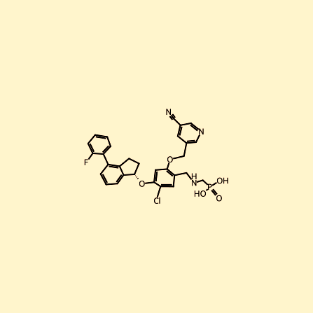 N#Cc1cncc(COc2cc(O[C@H]3CCc4c(-c5ccccc5F)cccc43)c(Cl)cc2CNCP(=O)(O)O)c1